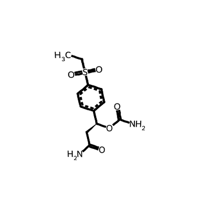 CCS(=O)(=O)c1ccc([C@H](CC(N)=O)OC(N)=O)cc1